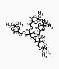 CC1(C)OCC(CBr)(COCC(COCC2COC(C)(C)O2)(COCC2COC(C)(C)O2)COCC2COC(C)(C)O2)CO1